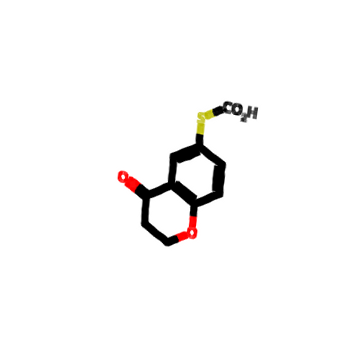 O=C(O)Sc1ccc2c(c1)C(=O)CCO2